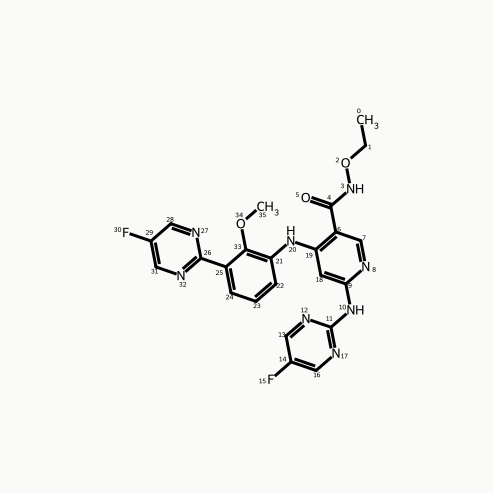 CCONC(=O)c1cnc(Nc2ncc(F)cn2)cc1Nc1cccc(-c2ncc(F)cn2)c1OC